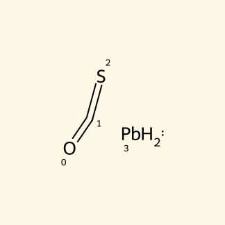 O=C=S.[PbH2]